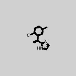 C=C(c1ncc[nH]1)c1cc(C)ccc1Cl